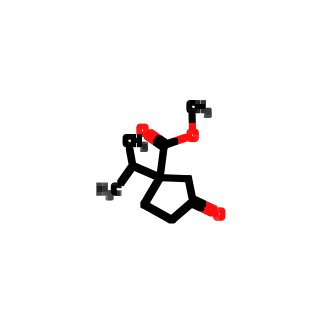 COC(=O)C1(C(C)C)CCC(=O)C1